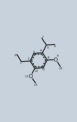 CCc1cc(C(C)C)c(OC)cc1OC